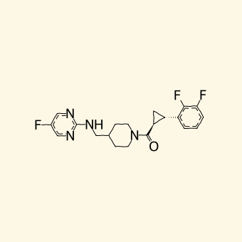 O=C([C@H]1C[C@@H]1c1cccc(F)c1F)N1CCC(CNc2ncc(F)cn2)CC1